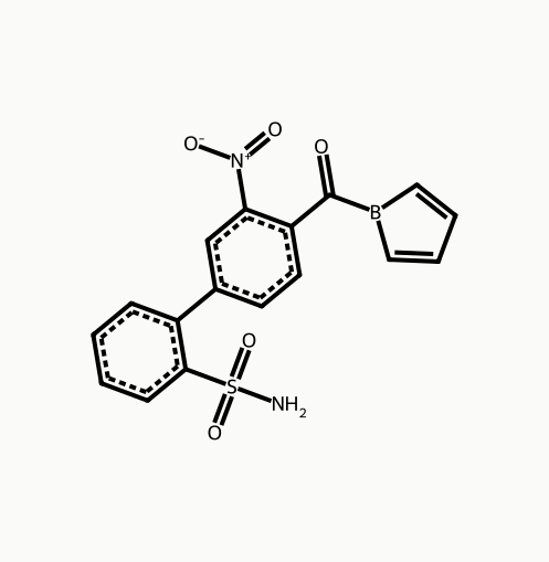 NS(=O)(=O)c1ccccc1-c1ccc(C(=O)B2C=CC=C2)c([N+](=O)[O-])c1